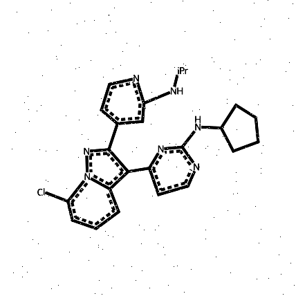 CC(C)Nc1cc(-c2nn3c(Cl)cccc3c2-c2ccnc(NC3CCCC3)n2)ccn1